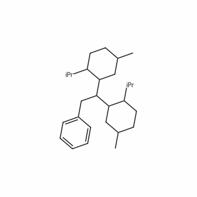 CC1CCC(C(C)C)C(C(Cc2ccccc2)C2CC(C)CCC2C(C)C)C1